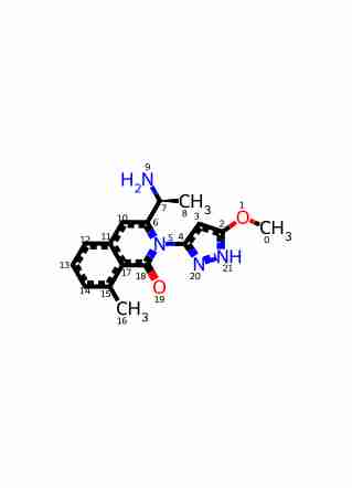 COc1cc(-n2c([C@H](C)N)cc3cccc(C)c3c2=O)n[nH]1